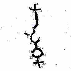 C=C(CN(C)C/C=C/C#CC(C)(C)C)c1ccc(C(C)(C)C)cc1